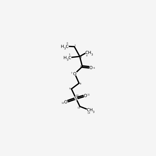 CCC(C)(C)C(=O)OCCS(=O)(=O)CC